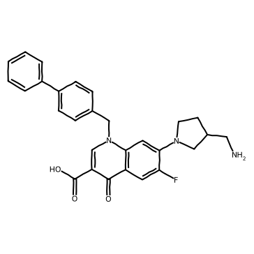 NCC1CCN(c2cc3c(cc2F)c(=O)c(C(=O)O)cn3Cc2ccc(-c3ccccc3)cc2)C1